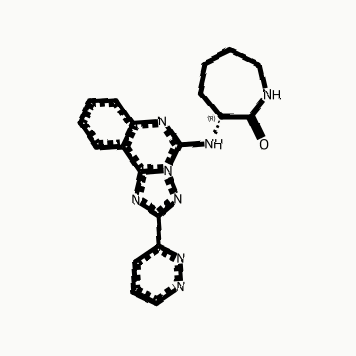 O=C1NCCCC[C@H]1Nc1nc2ccccc2c2nc(-c3cccnn3)nn12